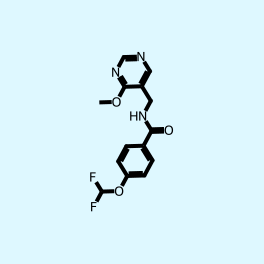 COc1ncncc1CNC(=O)c1ccc(OC(F)F)cc1